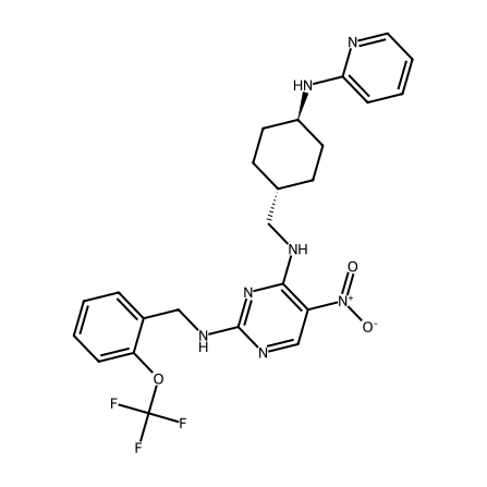 O=[N+]([O-])c1cnc(NCc2ccccc2OC(F)(F)F)nc1NC[C@H]1CC[C@H](Nc2ccccn2)CC1